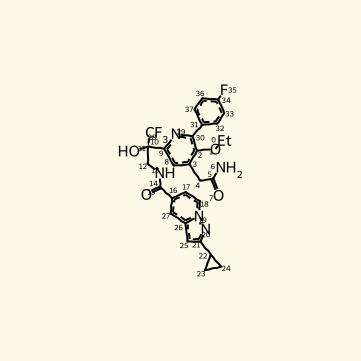 CCOc1c(CC(N)=O)cc([C@@](O)(CNC(=O)c2ccn3nc(C4CC4)cc3c2)C(F)(F)F)nc1-c1ccc(F)cc1